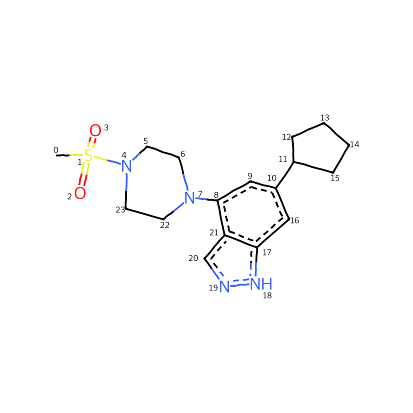 CS(=O)(=O)N1CCN(c2cc(C3CCCC3)cc3[nH]ncc23)CC1